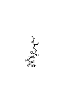 CCOC(=O)COS(=O)(=O)CCC(C)S(=O)(=O)O